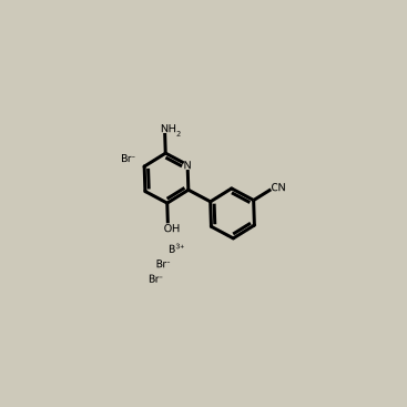 N#Cc1cccc(-c2nc(N)ccc2O)c1.[B+3].[Br-].[Br-].[Br-]